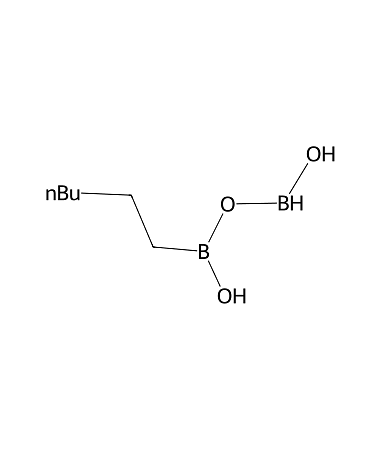 CCCCCCB(O)OBO